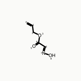 C=CCOC(=O)C=NO